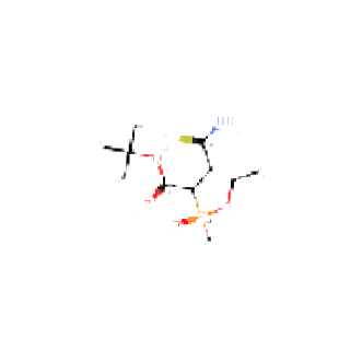 CCOP(C)(=O)C(CC(N)=S)C(=O)OC(C)(C)C